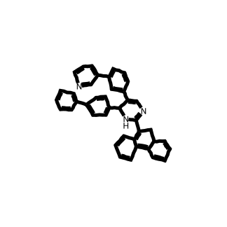 C1=CC2=c3ccccc3=C(C3=NC=C(c4cccc(-c5cccnc5)c4)C(c4ccc(-c5ccccc5)cc4)N3)CC2C=C1